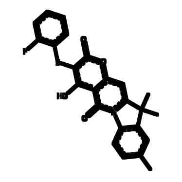 Cc1ccc2c(c1)C(C)(C)c1cc3oc(=O)c(Sc4ccccc4F)c(O)c3c(=O)n1-2